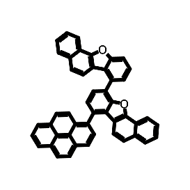 c1ccc2c(c1)ccc1c2oc2cccc(-c3ccc(-c4ccc5ccc6cccc7ccc4c5c67)c4c3oc3c5ccccc5ccc34)c21